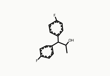 CC(O)C(c1ccc(F)cc1)c1ccc(F)cc1